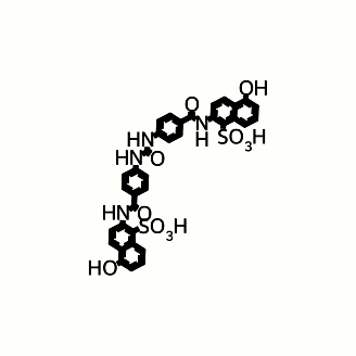 O=C(Nc1ccc(C(=O)Nc2ccc3c(O)cccc3c2S(=O)(=O)O)cc1)Nc1ccc(C(=O)Nc2ccc3c(O)cccc3c2S(=O)(=O)O)cc1